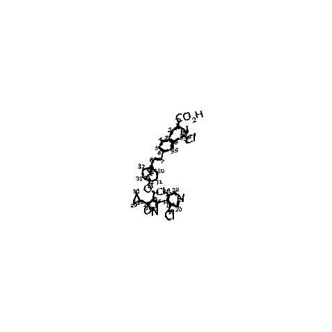 O=C(O)c1cc2ccc(C=CC34CCC(OCc5c(-c6c(Cl)cncc6Cl)noc5C5CC5)(CC3)CC4)cc2c(Cl)n1